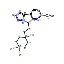 COc1ccc2c(n1)C(CCC1(F)CCC(F)(F)CC1)n1cncc1-2